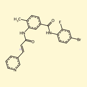 Cc1ccc(C(=O)Nc2ccc(Br)cc2F)cc1NC(=O)/C=C/c1cccnc1